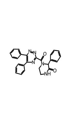 O=C1NCCN(C(=O)c2nnc(-c3ccccc3)c(-c3ccccc3)n2)C1c1ccccc1